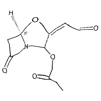 CC(=O)OC1C(=CC=O)O[C@@H]2CC(=O)N12